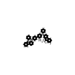 CC1(C)c2ccccc2-c2ccc(N(c3ccccc3)c3ccc(-c4ccc(N(c5ccccc5)c5cccc6c5oc5ccccc56)cc4)cc3)cc21